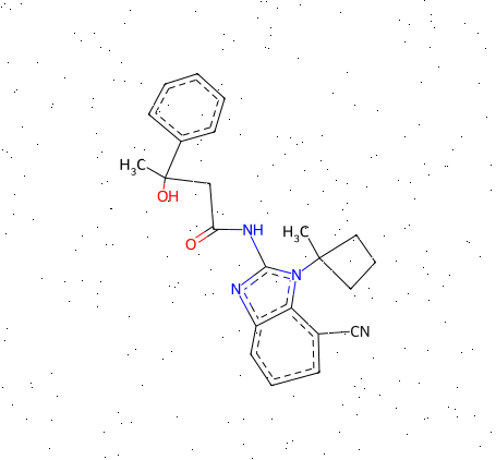 CC(O)(CC(=O)Nc1nc2cccc(C#N)c2n1C1(C)CCC1)c1ccccc1